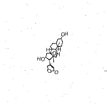 C[C@]12CCC(O)CC1CC[C@@H]1[C@@H]2CC[C@]2(C)[C@@H](C3=CC(=O)OC3)C(O)CC12O